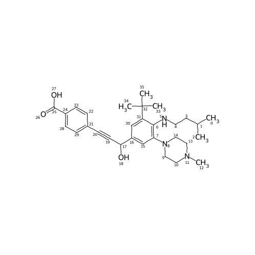 CC(C)CCNc1c(N2CCN(C)CC2)cc(C(O)C#Cc2ccc(C(=O)O)cc2)cc1C(C)(C)C